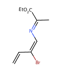 C=C/C(Br)=C\N=C(/C)C(=O)OCC